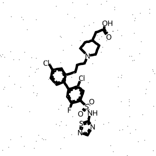 O=C(O)CC1CCN(CCCc2cc(Cl)ccc2-c2cc(F)c(S(=O)(=O)Nc3ncns3)cc2Cl)CC1